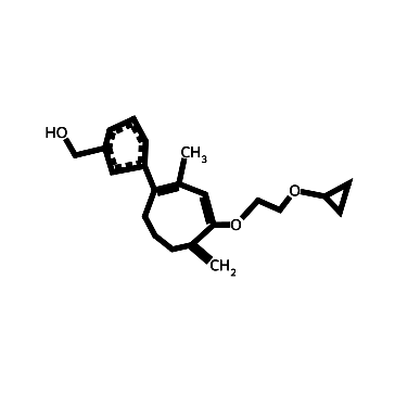 C=C1CCC/C(c2cccc(CO)c2)=C(C)\C=C/1OCCOC1CC1